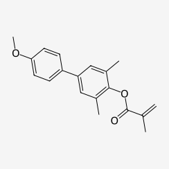 C=C(C)C(=O)Oc1c(C)cc(-c2ccc(OC)cc2)cc1C